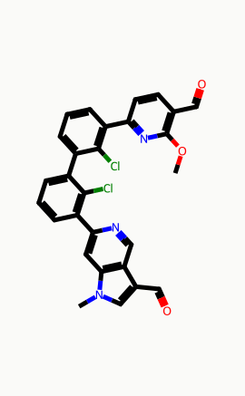 COc1nc(-c2cccc(-c3cccc(-c4cc5c(cn4)c(C=O)cn5C)c3Cl)c2Cl)ccc1C=O